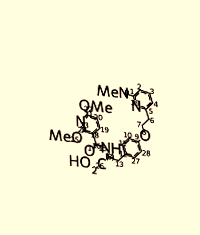 CNc1cccc(CCOc2ccc(C[C@H](NC(=O)c3ccc(OC)nc3OC)C(=O)O)cc2)n1